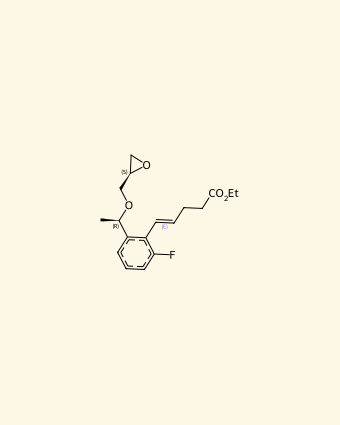 CCOC(=O)CC/C=C/c1c(F)cccc1[C@@H](C)OC[C@H]1CO1